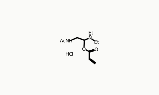 C=CC(=O)OC(CNC(C)=O)N(CC)CC.Cl